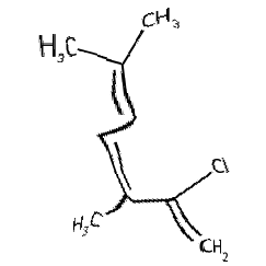 C=C(Cl)/C(C)=C\C=C(C)C